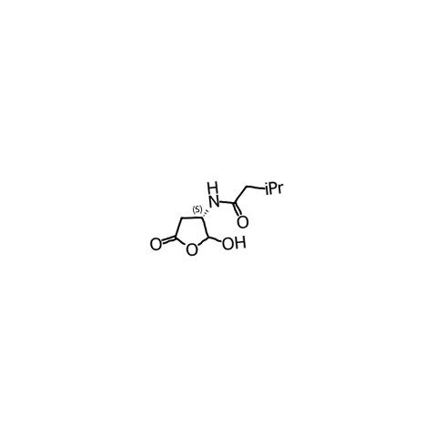 CC(C)CC(=O)N[C@H]1CC(=O)OC1O